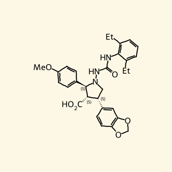 CCc1cccc(CC)c1NC(=O)NN1C[C@H](c2ccc3c(c2)OCO3)[C@H](C(=O)O)[C@H]1c1ccc(OC)cc1